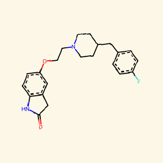 O=C1Cc2cc(OCCN3CCC(Cc4ccc(F)cc4)CC3)ccc2N1